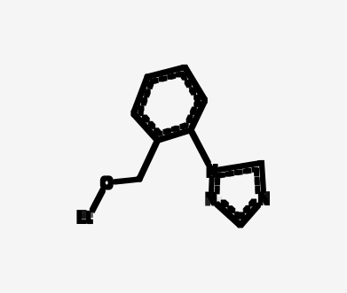 CCOCc1ccccc1-n1cncn1